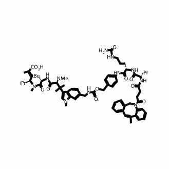 CN[C@H](C(=O)N[C@H](C(=O)N(C)[C@H](/C=C(\C)C(=O)O)C(C)C)C(C)(C)C)C(C)(C)c1cn(C)c2cc(CNC(=O)OCc3ccc(NC(=O)[C@H](CCCNC(N)=O)NC(=O)[C@@H](NC(=O)CCC(=O)N4Cc5ccccc5/C=C(/C)c5ccccc54)C(C)C)cc3)ccc12